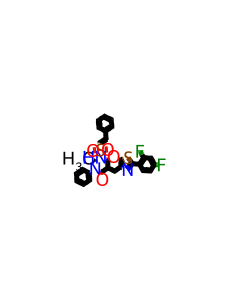 CCN(C(=O)C(Cc1csc(-c2ccc(F)cc2F)n1)C(=O)NS(=O)(=O)C=Cc1ccccc1)c1ccccc1